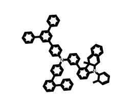 CC1C=CC=CC1N1c2cccc(-c3cccc(N(c4ccc(-c5cc(-c6ccccc6)cc(-c6ccccc6)c5)cc4)c4ccc(-c5ccccc5-c5ccccc5)cc4)c3)c2C2(C)C=c3ccccc3=CC12